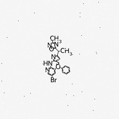 Cc1noc(C(C)c2csc(Nc3ncc(Br)cc3Oc3ccccc3)n2)n1